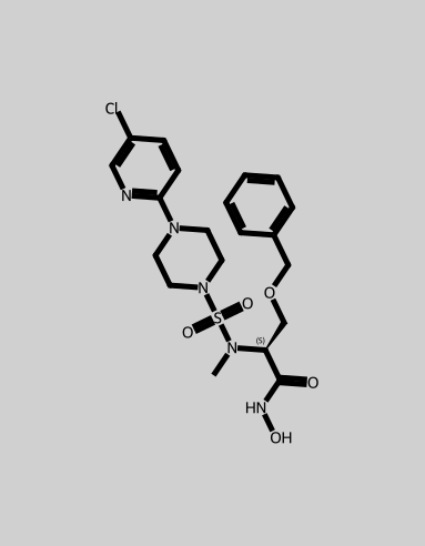 CN([C@@H](COCc1ccccc1)C(=O)NO)S(=O)(=O)N1CCN(c2ccc(Cl)cn2)CC1